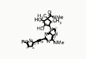 CNC(=O)[C@]1(C)C(O)C(O)C(n2cnc3c(NC)nc(C#Cc4ccc(F)s4)nc32)[C@H]1C